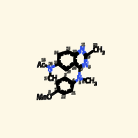 COc1ccc(N(C)c2nc(C)nc3ccc(N(C)C(C)=O)cc23)cc1